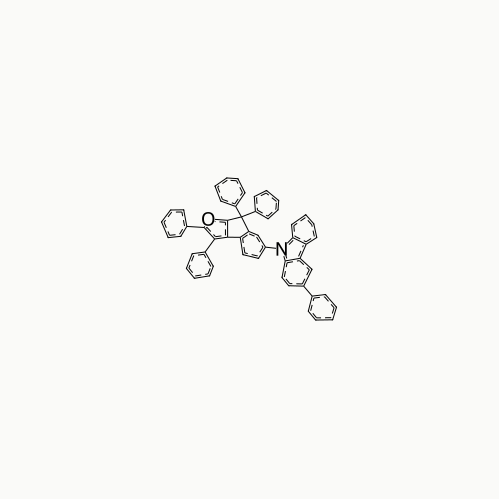 c1ccc(-c2ccc3c(c2)c2ccccc2n3-c2ccc3c(c2)C(c2ccccc2)(c2ccccc2)c2oc(-c4ccccc4)c(-c4ccccc4)c2-3)cc1